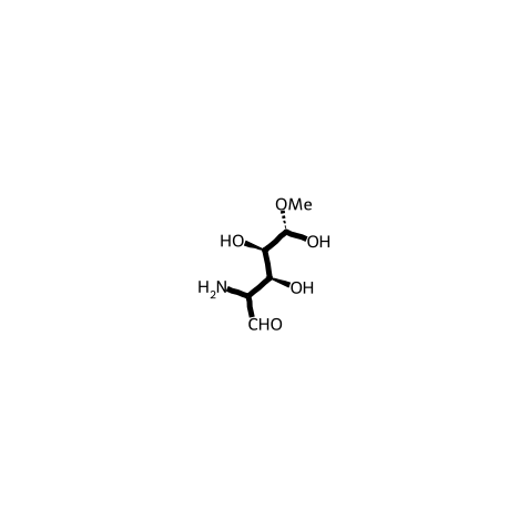 CO[C@H](O)[C@H](O)[C@@H](O)C(N)C=O